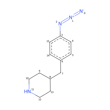 [N-]=[N+]=Nc1ccc(CC2CCNCC2)cc1